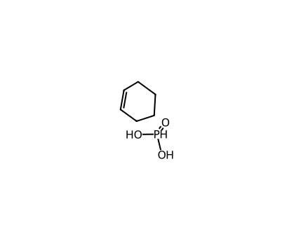 C1=CCCCC1.O=[PH](O)O